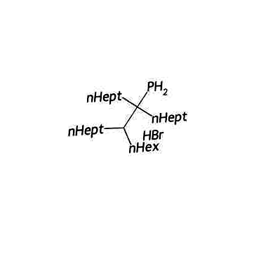 Br.CCCCCCCC(CCCCCC)C(P)(CCCCCCC)CCCCCCC